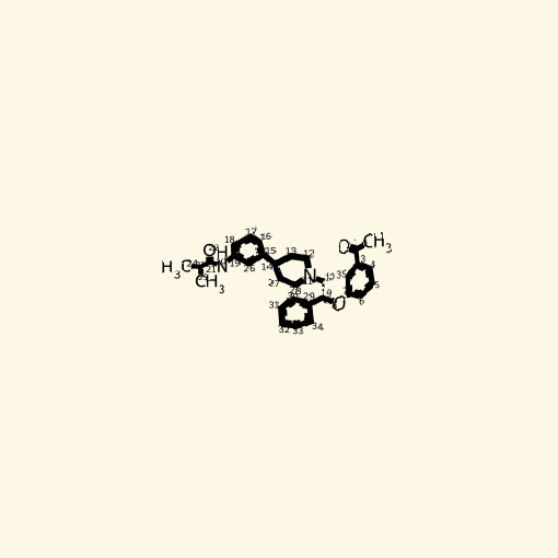 CC(=O)c1cccc(O[C@@H](CN2CCC(c3cccc(NC(=O)C(C)C)c3)CC2)c2ccccc2)c1